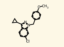 COc1ccc(Cn2nc(C3CC3)c3ccc(Cl)cc32)cc1